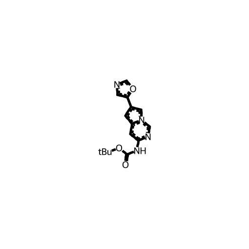 CC(C)(C)OC(=O)Nc1cc2cc(-c3cnco3)cn2cn1